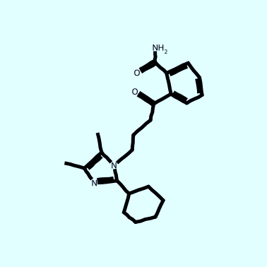 Cc1nc(C2CCCCC2)n(CCCC(=O)c2ccccc2C(N)=O)c1C